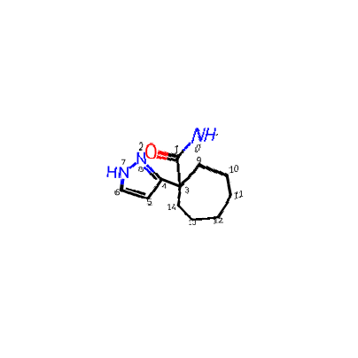 [NH]C(=O)C1(c2cc[nH]n2)CCCCCC1